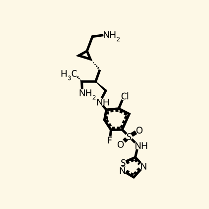 C[C@@H](N)[C@H](CNc1cc(F)c(S(=O)(=O)Nc2ncns2)cc1Cl)C[C@@H]1CC1CN